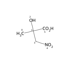 CC(O)(C[N+](=O)[O-])C(=O)O